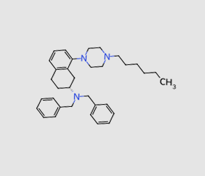 CCCCCCN1CCN(c2cccc3c2C[C@H](N(Cc2ccccc2)Cc2ccccc2)CC3)CC1